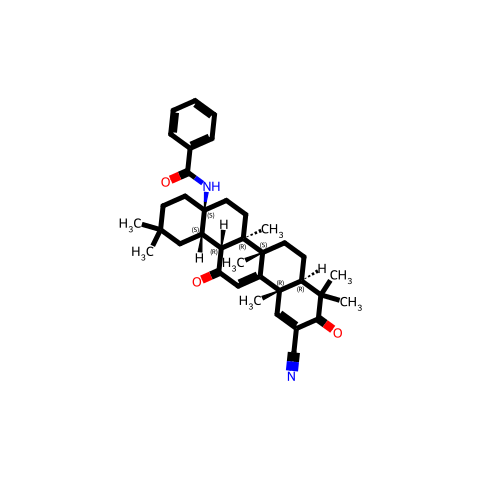 CC1(C)CC[C@]2(NC(=O)c3ccccc3)CC[C@]3(C)[C@H](C(=O)C=C4[C@@]5(C)C=C(C#N)C(=O)C(C)(C)[C@@H]5CC[C@]43C)[C@@H]2C1